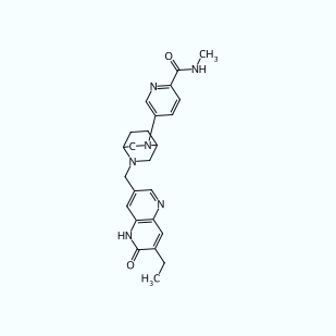 CCc1cc2ncc(CN3CC4CCC3CN4c3ccc(C(=O)NC)nc3)cc2[nH]c1=O